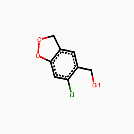 OCc1cc2c(cc1Cl)OOC2